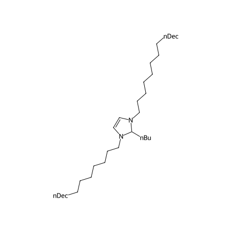 CCCCCCCCCCCCCCCCCCN1C=CN(CCCCCCCCCCCCCCCCC)C1CCCC